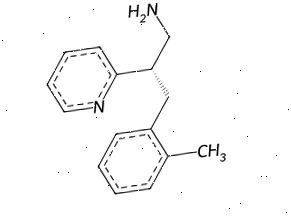 Cc1ccccc1C[C@@H](CN)c1ccccn1